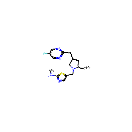 CNc1ncc(CN2CC(Cc3ncc(F)cn3)CC2C)s1